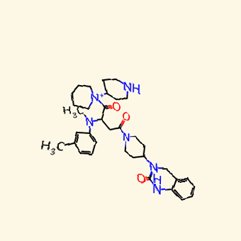 Cc1cccc(N(C)C(CC(=O)N2CCC(N3Cc4ccccc4NC3=O)CC2)C(=O)[N+]2(C3CCNCC3)CCCCC2)c1